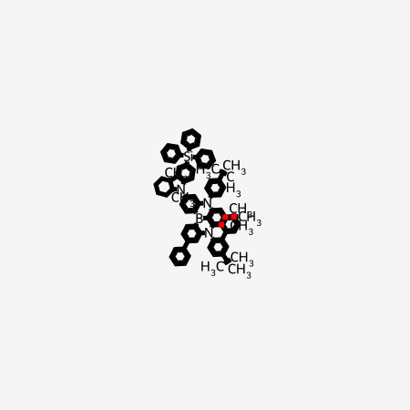 CC(C)(C)c1ccc(N2c3cc(N4c5ccc([Si](c6ccccc6)(c6ccccc6)c6ccccc6)cc5C5(C)CCCCC45C)ccc3B3c4ccc(-c5ccccc5)cc4N(c4ccc(C(C)(C)C)cc4-c4ccccc4)c4cc(C(C)(C)C)cc2c43)cc1